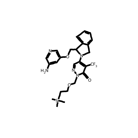 C[Si](C)(C)CCOCn1ncc(N2Cc3ccccc3C2COc2cncc(N)c2)c(C(F)(F)F)c1=O